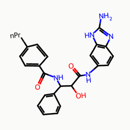 CCCc1ccc(C(=O)NC(c2ccccc2)C(O)C(=O)Nc2ccc3nc(N)[nH]c3c2)cc1